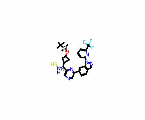 CC(C)(C)[Si](C)(C)OC1CC([C@H](NS)c2cncc(-c3ccc4cnn(-c5cccc(C(F)(F)F)n5)c4c3)n2)C1